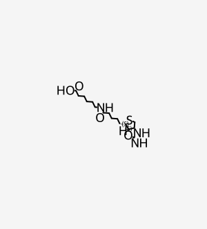 N=C1NC2CS[C@@H](CCCCC(=O)NCCCCCC(=O)O)[C@H]2O1